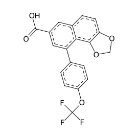 O=C(O)c1cc(-c2ccc(OC(F)(F)F)cc2)c2c3c(ccc2c1)OCO3